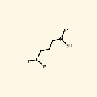 CCN(CCCN(S)C(C)C)C(C)C